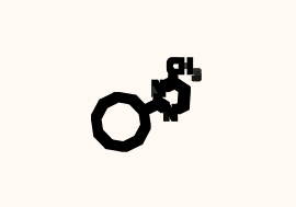 Cc1ccnc(C2CCCCCCCCC2)n1